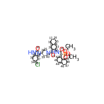 CCOP(=O)(OCC)C(C(=O)Nc1cc2ccccc2cc1C(=O)N1CCC(n2c(=O)[nH]c3ccc(Cl)cc32)CC1)c1cccc2ccccc12